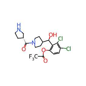 O=C([C@@H]1CCNC1)N1CCC([C@@H](O)c2c(OC(=O)C(F)(F)F)ccc(Cl)c2Cl)CC1